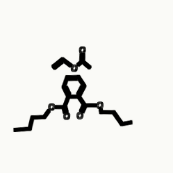 C=COC(C)=O.CCCCOC(=O)c1ccccc1C(=O)OCCCC